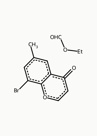 CCOC=O.Cc1cc(Br)c2occc(=O)c2c1